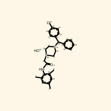 Cc1cc(C)c(NC(=O)CN2CCN(C(c3ccccc3)c3ccc(Cl)cc3)CC2)c(C)c1.Cl